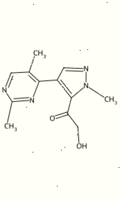 Cc1ncc(C)c(-c2cnn(C)c2C(=O)CO)n1